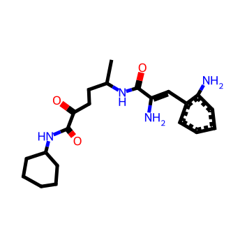 CC(CCC(=O)C(=O)NC1CCCCC1)NC(=O)/C(N)=C/c1ccccc1N